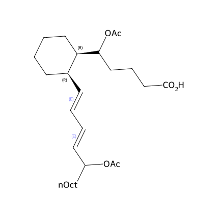 CCCCCCCCC(/C=C/C=C/[C@H]1CCCC[C@H]1C(CCCC(=O)O)OC(C)=O)OC(C)=O